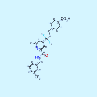 Cc1cc(C(F)(F)CCC2CCC(C(=O)O)CC2)cc(C(=O)NCc2cccc(C(F)(F)F)c2)n1